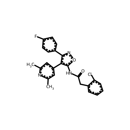 Cc1cc(-c2c(-c3ccc(F)cc3)noc2NC(=O)Cc2ccccc2Cl)cc(C)n1